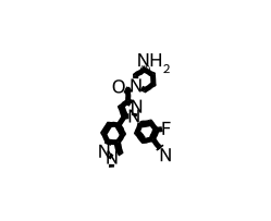 Cn1cc2cc(-c3cc(C(=O)N4CCC[C@@H](N)C4)nn3-c3ccc(C#N)c(F)c3)ccc2n1